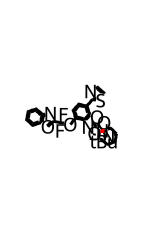 CC(C)(C)OC(=O)N1C2CC1CN(c1nc3c(OC(F)(F)c4nc5ccccc5o4)ccc(-c4nccs4)c3o1)C2